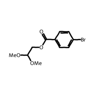 COC(COC(=O)c1ccc(Br)cc1)OC